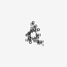 COC(=O)CCC(=O)N[C@@H](Cc1ccccc1)C(=O)N[C@H]1CCCNC(=O)[C@H](CCCNC(=N)N)NC(=O)[C@H](Cc2c[nH]c3ccccc23)NC(=O)[C@@H](CC2CCCCC2)NC(=O)[C@@H]2CCCN2C1=O